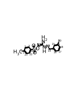 Cc1ccc(S(=O)(=O)ON=C(N)NN=Cc2cccc(I)c2)cc1